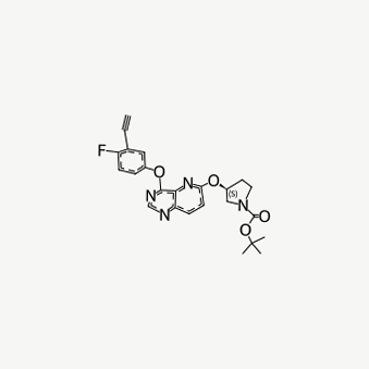 C#Cc1cc(Oc2ncnc3ccc(O[C@H]4CCN(C(=O)OC(C)(C)C)C4)nc23)ccc1F